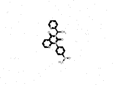 CC(c1ccccn1)n1c(=O)c2cccnc2n(-c2ccc([S+](C)[O-])cc2)c1=O